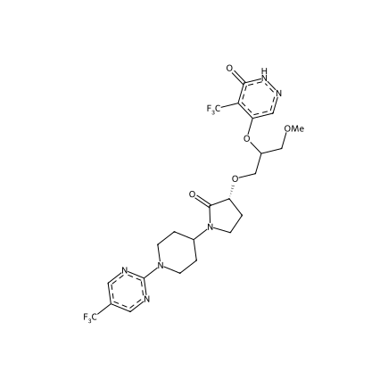 COCC(CO[C@@H]1CCN(C2CCN(c3ncc(C(F)(F)F)cn3)CC2)C1=O)Oc1cn[nH]c(=O)c1C(F)(F)F